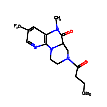 COCCC(=O)N1CCN2c3ncc(C(F)(F)F)cc3N(C)C(=O)C2C1